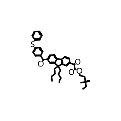 CCCCC1(CCCC)c2cc(C(=O)C(=O)OCCC(C)(C)CC)ccc2-c2ccc(C(=O)c3ccc(Sc4ccccc4)cc3)cc21